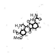 CCOc1cc(C(CN)N2C(=O)c3cccc(NC(N)=O)c3C2=O)ccc1OC